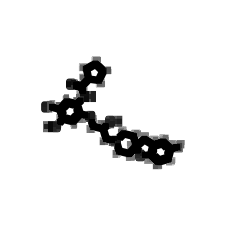 O=C(Nc1cc(Cl)c(O)cc1OCC(O)CN1CCC2(CC1)Cc1cc(F)ccc1O2)C1CCCC1